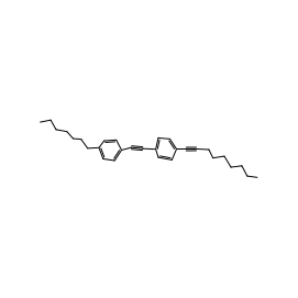 CCCCCCCC#Cc1ccc(C#Cc2ccc(CCCCCCC)cc2)cc1